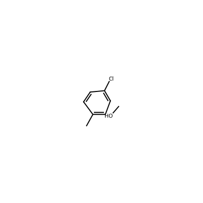 CO.Cc1ccc(Cl)cc1